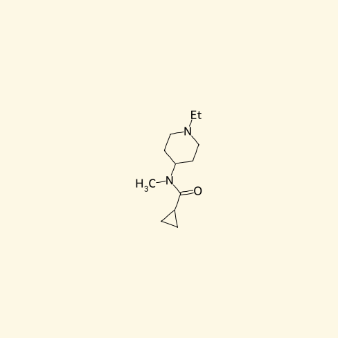 CCN1CCC(N(C)C(=O)C2CC2)CC1